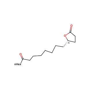 CCCCCCC(=O)CCCCCCC[C@H]1CCC(=O)O1